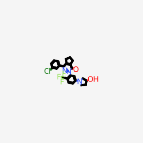 O=c1c2c(c(-c3cccc(Cl)c3)nn1-c1cc(N3CCC(O)C3)ccc1C(F)(F)F)CCC2